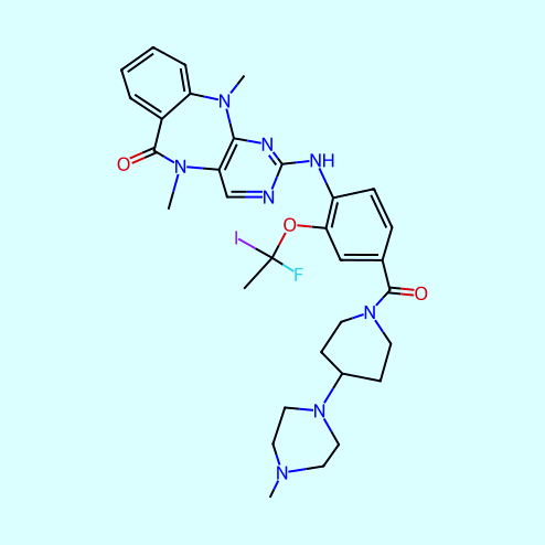 CN1CCN(C2CCN(C(=O)c3ccc(Nc4ncc5c(n4)N(C)c4ccccc4C(=O)N5C)c(OC(C)(F)I)c3)CC2)CC1